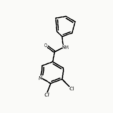 O=C(Nc1ccccc1)c1cnc(Cl)c(Cl)c1